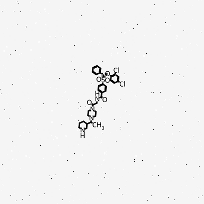 CC(C1CCCNC1)N1CCN(C(=O)CNC(=O)c2ccc(S(=O)(=O)N(Oc3ccc(Cl)cc3Cl)c3ccccc3)cc2)CC1